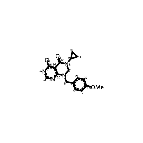 COc1ccc(CN2CN(C3CC3)C(=O)c3c(Cl)ncnc32)cc1